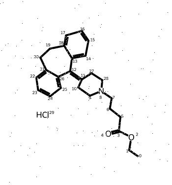 CCOC(=O)CCCN1CCC(=C2c3ccccc3CCc3ccccc32)CC1.Cl